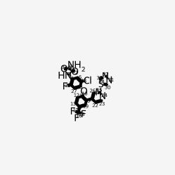 NS(=O)(=O)Nc1cc(Cl)c(Oc2ccc(C(F)(F)F)cc2-c2ccnnc2)cc1F.c1nncs1